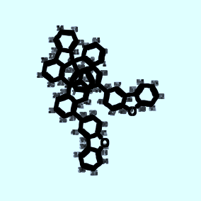 c1ccc(C2(c3ccccc3)c3ccccc3-c3cccc(-c4c5cccc(-c6ccc7oc8ccccc8c7c6)c5cc5c(-c6ccc7oc8ccccc8c7c6)cccc45)c32)cc1